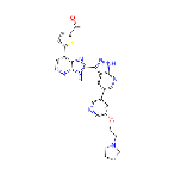 CC(=O)c1ccc(-c2ccnc3[nH]c(-c4n[nH]c5ncc(-c6cncc(OCCN7CCCC7)c6)cc45)nc23)s1